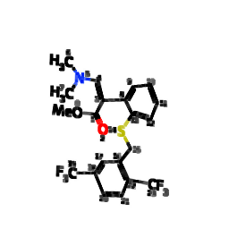 COC(=O)C(=CN(C)C)c1ccccc1SCc1cc(C(F)(F)F)ccc1C(F)(F)F